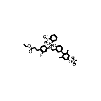 CCOC(=O)CCc1ccc(N(Cc2cccc(-c3c(C)cc(OS(C)(=O)=O)cc3C)c2)S(=O)(=O)c2ccccc2[N+](=O)[O-])cc1F